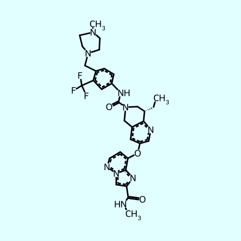 CC[C@H]1CN(C(=O)Nc2ccc(CN3CCN(C)CC3)c(C(F)(F)F)c2)Cc2cc(Oc3ccnn4cc(C(=O)NC)nc34)cnc21